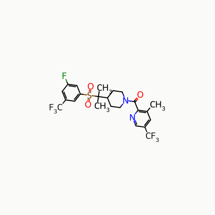 Cc1cc(C(F)(F)F)cnc1C(=O)N1CCC(C(C)(C)S(=O)(=O)c2cc(F)cc(C(F)(F)F)c2)CC1